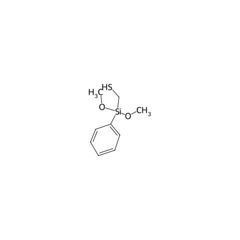 CO[Si](CS)(OC)c1ccccc1